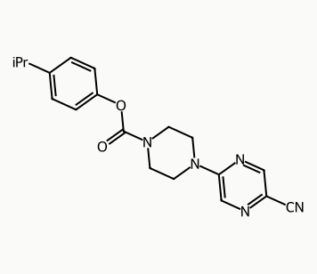 CC(C)c1ccc(OC(=O)N2CCN(c3cnc(C#N)cn3)CC2)cc1